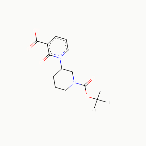 CC(C)(C)OC(=O)N1CCCC(n2cccc(C(=O)O)c2=O)C1